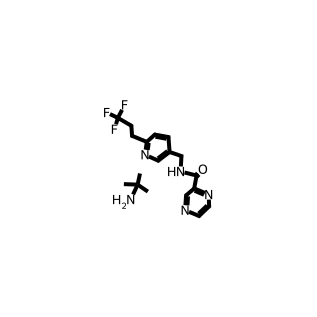 CC(C)(C)N.O=C(NCc1ccc(CCC(F)(F)F)nc1)c1cnccn1